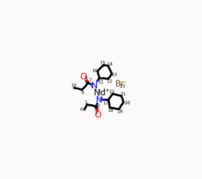 CCC(=O)[N]([Nd+][N](C(=O)CC)C1CCCCC1)C1CCCCC1.[Br-]